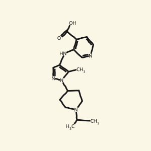 Cc1c(Nc2cnccc2C(=O)O)cnn1C1CCN(C(C)C)CC1